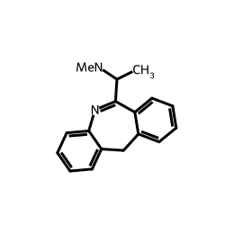 CNC(C)C1=Nc2ccccc2Cc2ccccc21